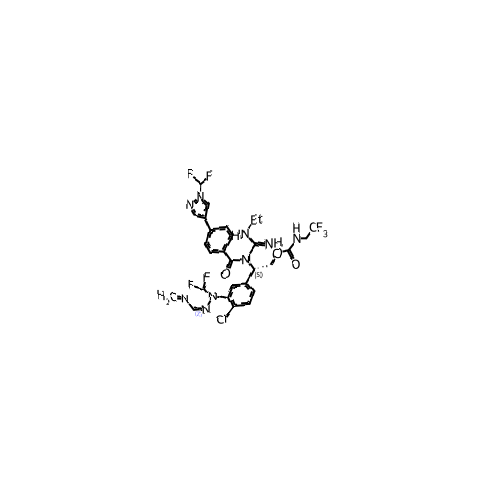 C=N/C=N\N(c1cc([C@@H](COC(=O)NCC(F)(F)F)N(C(=N)NCC)C(=O)c2ccc(-c3cnn(C(F)F)c3)cc2)ccc1Cl)C(F)F